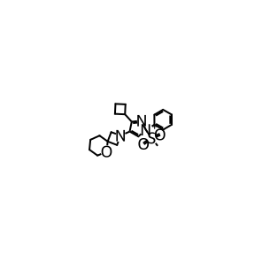 CS(=O)(=O)[N+]1(c2ccccc2)C=C(N2CC3(CCCCO3)C2)C(C2CCC2)=N1